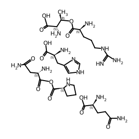 C[C@@H](OC(=O)[C@@H](N)CCCNC(=N)N)[C@H](N)C(=O)O.NC(=O)CC[C@H](N)C(=O)O.NC(=O)C[C@H](N)C(=O)OC(=O)[C@@H]1CCCN1.N[C@@H](Cc1c[nH]cn1)C(=O)O